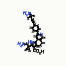 CC(C)(N)C#Cc1ccc(-c2cc3c(cn2)CCc2c-3[nH]c(C3(CN)CC3)c2C(=O)O)cc1